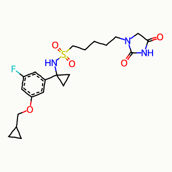 O=C1CN(CCCCCS(=O)(=O)NC2(c3cc(F)cc(OCC4CC4)c3)CC2)C(=O)N1